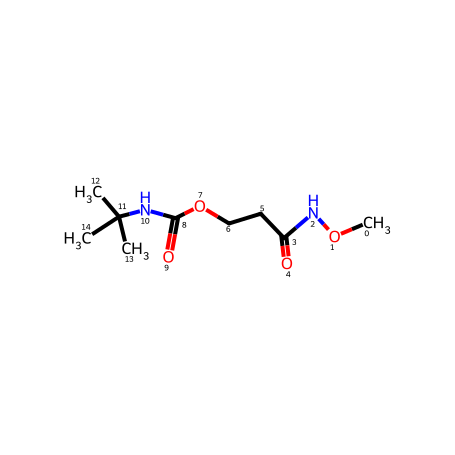 CONC(=O)CCOC(=O)NC(C)(C)C